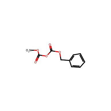 O=C(OCc1ccccc1)OC(=O)O[N+](=O)[O-]